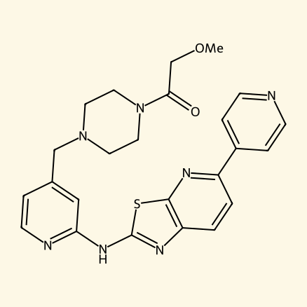 COCC(=O)N1CCN(Cc2ccnc(Nc3nc4ccc(-c5ccncc5)nc4s3)c2)CC1